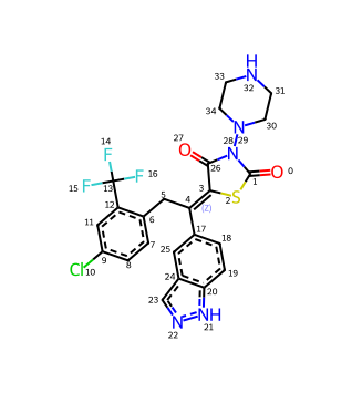 O=C1S/C(=C(/Cc2ccc(Cl)cc2C(F)(F)F)c2ccc3[nH]ncc3c2)C(=O)N1N1CCNCC1